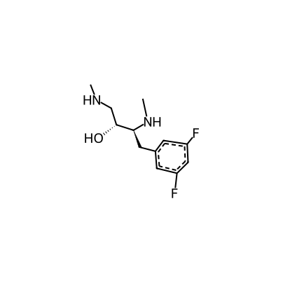 CNC[C@@H](O)[C@H](Cc1cc(F)cc(F)c1)NC